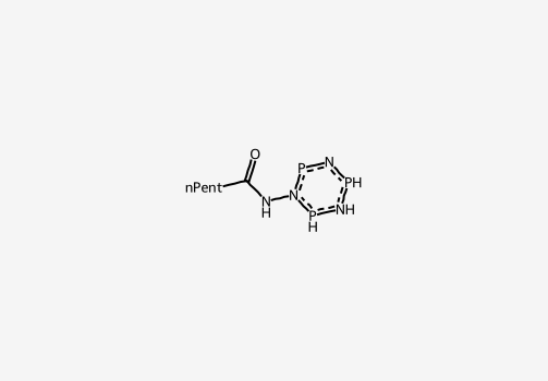 CCCCCC(=O)Nn1pn[pH][nH][pH]1